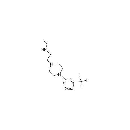 CCNCCN1CCN(c2cccc(C(F)(F)F)c2)CC1